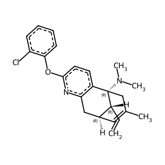 C=C[C@@H]1[C@H]2C=C(C)C[C@]1(N(C)C)c1ccc(Oc3ccccc3Cl)nc1C2